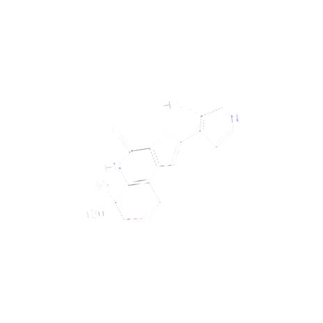 Cc1cnccc1-c1cc2c3c([nH]c(=O)c2s1)[C@@](O)(C(C)(C)C)COC3